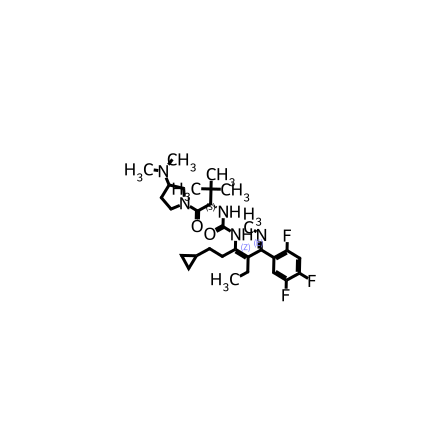 CCC(=C(\CCC1CC1)NC(=O)N[C@H](C(=O)N1CCC(N(C)C)C1)C(C)(C)C)/C(=N\C)c1cc(F)c(F)cc1F